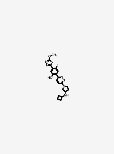 COc1nnc(-c2cc(O)c(-c3ccc(N4CC[C@@H](NC5CCC5)C4)nn3)cc2F)s1